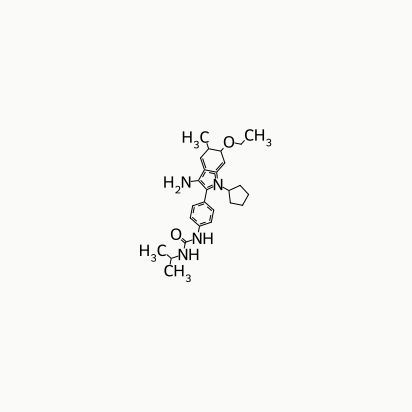 CCOC1C=c2c(c(N)c(-c3ccc(NC(=O)NC(C)C)cc3)n2C2CCCC2)=CC1C